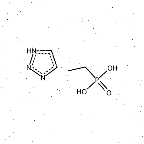 CCP(=O)(O)O.c1c[nH]nn1